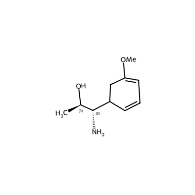 COC1=CC=CC([C@H](N)[C@@H](C)O)C1